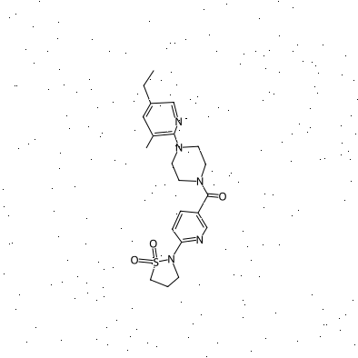 CCc1cnc(N2CCN(C(=O)c3ccc(N4CCCS4(=O)=O)nc3)CC2)c(C)c1